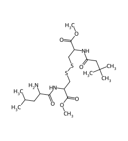 COC(=O)C(CSSCC(NC(=O)C(N)CC(C)C)C(=O)OC)NC(=O)CC(C)(C)C